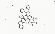 [2H]c1c([2H])c([2H])c2c([2H])c3c(-c4coc5c4ccc4c6ccccc6ccc45)c(-c4ccccc4)c(-c4ccccc4)cc3cc2c1[2H]